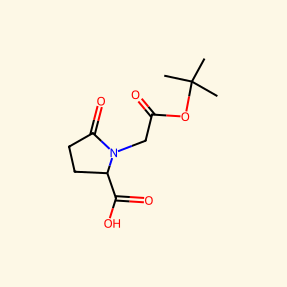 CC(C)(C)OC(=O)CN1C(=O)CCC1C(=O)O